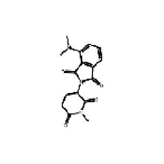 CN1C(=O)CCC(N2C(=O)c3cccc(N(C)C)c3C2=O)C1=O